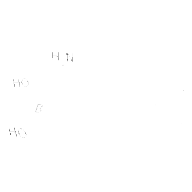 Nc1cc(C2CC2)ccc1B(O)O